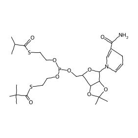 CC(C)C(=O)SCCOP(OCCSC(=O)C(C)(C)C)OCC1OC(N2C=CCC(C(N)=O)=C2)C2OC(C)(C)OC12